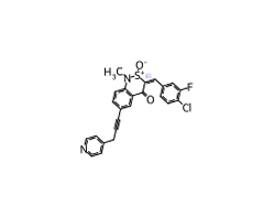 CN1c2ccc(C#CCc3ccncc3)cc2C(=O)/C(=C\c2ccc(Cl)c(F)c2)[S+]1[O-]